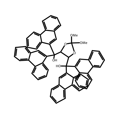 COC1(OC)OC(C(O)(c2cc3ccccc3c3ccccc23)c2cc3ccccc3c3ccccc23)C(C(O)(c2cc3ccccc3c3ccccc23)c2cc3ccccc3c3ccccc23)O1